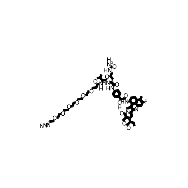 CCC1C(=O)OCc2c1cc1n(c2=O)Cc2c-1nc1cc(F)c(C)c3c1c2[C@@H](NC(=O)C(O)c1ccc(NC(=O)[C@H](CCCNC(N)=O)NC(=O)[C@@H](NC(=O)CCOCCOCCOCCOCCOCCOCCN=[N+]=[N-])C(C)C)cc1)CC3